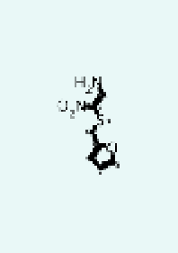 N/C=C(/SCc1ccco1)[N+](=O)[O-]